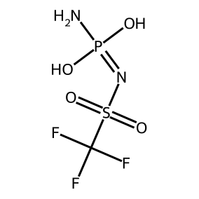 NP(O)(O)=NS(=O)(=O)C(F)(F)F